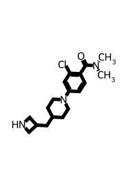 CN(C)C(=O)c1ccc(N2CCC(CC3CNC3)CC2)cc1Cl